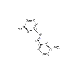 Clc1cccc(/N=N/c2cccc(Cl)c2)c1